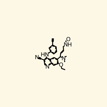 C#Cc1cccc(Nc2c(C#N)cnc3cc(OCC)c(C(/C=C/CNC=O)N(C)C)cc23)c1